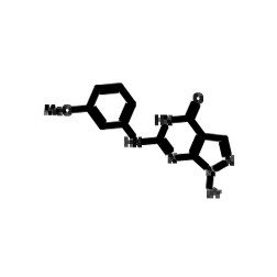 COc1cccc(Nc2nc3c(cnn3C(C)C)c(=O)[nH]2)c1